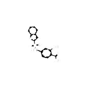 O=C(O)c1ccc(NS(=O)(=O)c2cc3ccccc3s2)cc1O